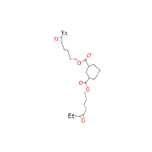 CCC1OC1CCCCOC(=O)C1CCCC(C(=O)OCCCCC2OC2CC)C1